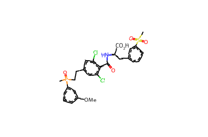 COc1cccc(P(C)(=O)CCc2cc(Cl)c(C(=O)NC(Cc3cccc(S(C)(=O)=O)c3)C(=O)O)c(Cl)c2)c1